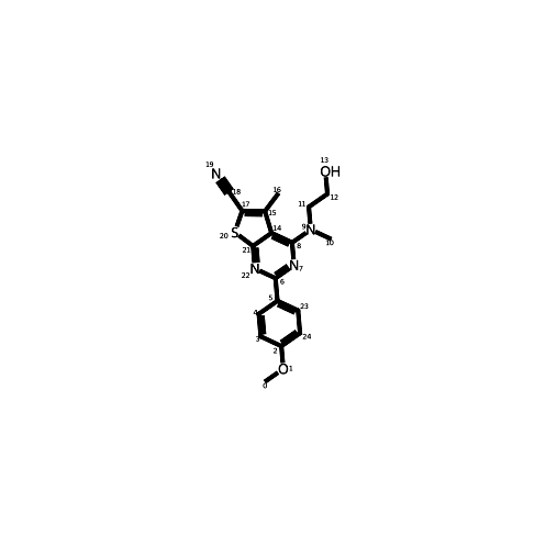 COc1ccc(-c2nc(N(C)CCO)c3c(C)c(C#N)sc3n2)cc1